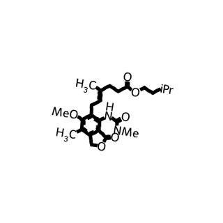 CNC(=O)Nc1c(C/C=C(\C)CCC(=O)OCCC(C)C)c(OC)c(C)c2c1C(=O)OC2